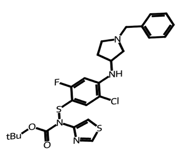 CC(C)(C)OC(=O)N(Sc1cc(Cl)c(NC2CCN(Cc3ccccc3)C2)cc1F)c1cscn1